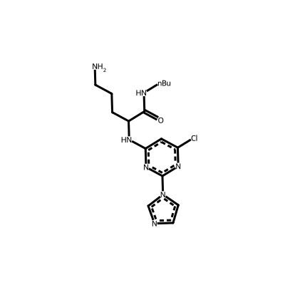 CCCCNC(=O)C(CCCN)Nc1cc(Cl)nc(-n2ccnc2)n1